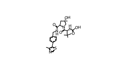 Cc1ncsc1-c1ccc(CNC(=O)C2C[C@@H](O)CN2C(=O)C(NC(=O)O)C(C)(C)C)cc1